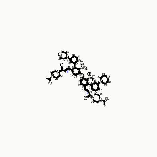 CC(=O)N1CCN(C(=O)/C=C/c2ccc(Sc3ccc(/C=C/C(=O)N4CCN(C(C)=O)CC4)c(-c4cccc(N5CCOCC5)c4)c3[N+](=O)[O-])c([N+](=O)[O-])c2-c2cccc(N3CCOCC3)c2)CC1